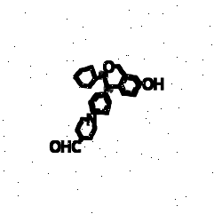 O=CC1CCN(c2ccc([C@@H]3c4ccc(O)cc4CO[C@@H]3C3CCCCC3)cc2)CC1